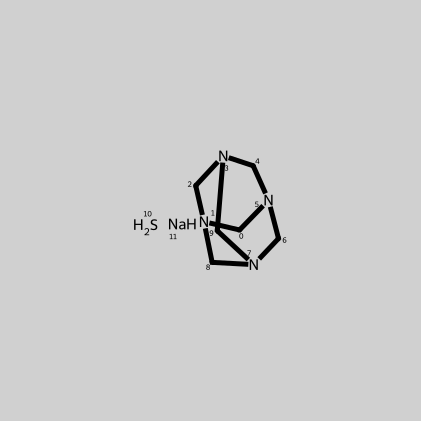 C1N2CN3CN1CN(C2)C3.S.[NaH]